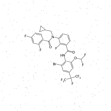 O=C(Nc1c(Br)cc(C(F)(C(F)(F)F)C(F)(F)F)cc1OC(F)F)c1cccc(N(CC2CC2)C(=O)c2ccc(F)cc2F)c1F